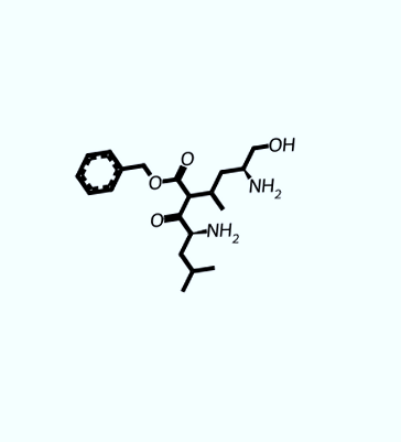 CC(C)C[C@H](N)C(=O)C(C(=O)OCc1ccccc1)C(C)C[C@H](N)CO